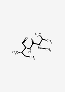 CC[C@H](C)[C@@H]([C]=O)NC(=O)[C@@H](NC)C(C)C